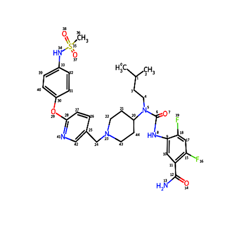 CC(C)CCN(C(=O)Nc1cc(C(N)=O)c(F)cc1F)C1CCN(Cc2ccc(Oc3ccc(NS(C)(=O)=O)cc3)nc2)CC1